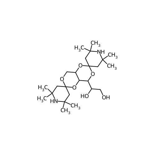 CC1(C)CC2(CC(C)(C)N1)OC1COC3(CC(C)(C)NC(C)(C)C3)OC1C(C(O)CO)O2